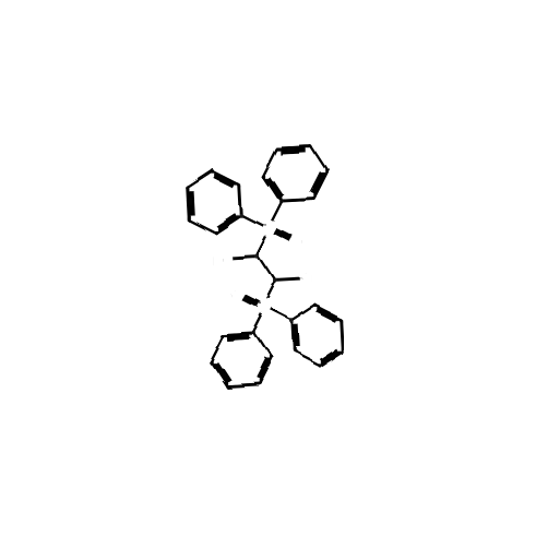 CC(C(C)P(=O)(c1ccccc1)c1ccccc1)P(=O)(c1ccccc1)c1ccccc1